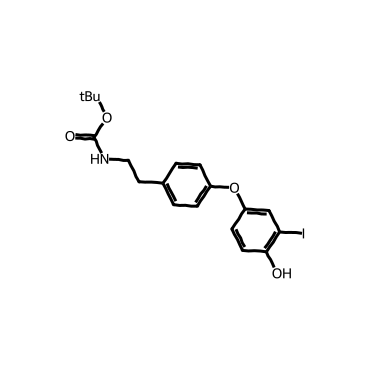 CC(C)(C)OC(=O)NCCc1ccc(Oc2ccc(O)c(I)c2)cc1